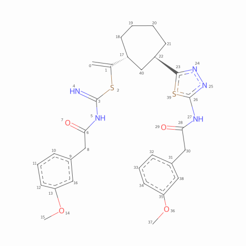 C=C(SC(=N)NC(=O)Cc1cccc(OC)c1)[C@@H]1CCCC[C@@H](c2nnc(NC(=O)Cc3cccc(OC)c3)s2)C1